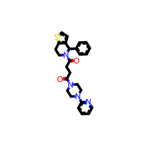 O=C(CCC(=O)N1CCc2sccc2C1c1ccccc1)N1CCN(c2ccccn2)CC1